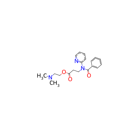 CN(C)CCOC(=O)CCN(C(=O)C1=CC=C=C=C1)c1ccccn1